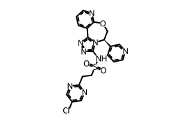 O=S(=O)(CCc1ncc(Cl)cn1)Nc1nnc2n1[C@H](c1cccnc1)COc1ncccc1-2